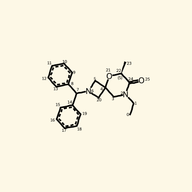 CCN1CC2(CN(C(c3ccccc3)c3ccccc3)C2)O[C@@H](C)C1=O